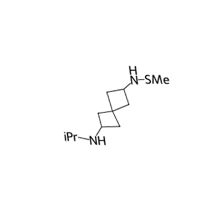 CSNC1CC2(C1)CC(NC(C)C)C2